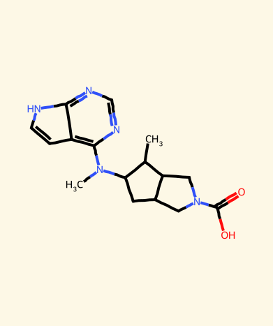 CC1C2CN(C(=O)O)CC2CC1N(C)c1ncnc2[nH]ccc12